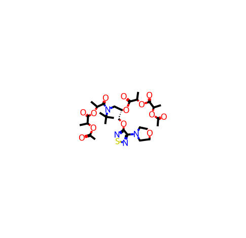 CC(=O)OC(C)C(=O)OC(C)C(=O)O[C@H](COc1nsnc1N1CCOCC1)CN(C(=O)C(C)OC(=O)C(C)OC(C)=O)C(C)(C)C